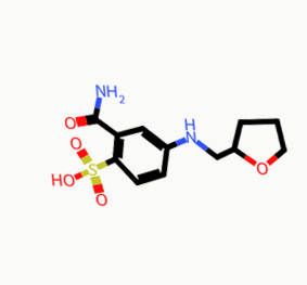 NC(=O)c1cc(NCC2CCCO2)ccc1S(=O)(=O)O